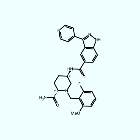 COc1cccc(F)c1CN1C[C@H](NC(=O)c2ccc3[nH]nc(-c4ccncc4)c3c2)CC[C@H]1C(N)=O